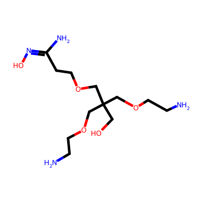 NCCOCC(CO)(COCCN)COCC/C(N)=N\O